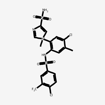 Cc1cc(NS(=O)(=O)c2ccc(Cl)c(C(F)(F)F)c2)c([N+]2(C)C=NC(S(N)(=O)=O)=C2)cc1Cl